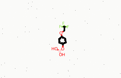 OB(O)Oc1ccc(OCC(F)(F)F)cc1